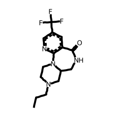 CCCN1CCN2c3ncc(C(F)(F)F)cc3C(=O)NCC2C1